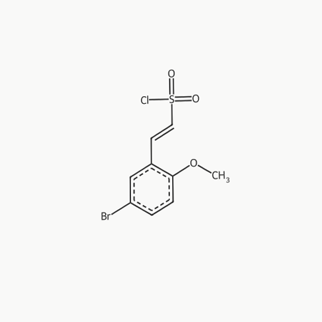 COc1ccc(Br)cc1/C=C/S(=O)(=O)Cl